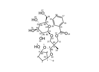 C[C@]12CC[C@](O)(C1)O[C@H]([C@@](C)(COC(=O)c1ccccc1)CO[C@@H]1O[C@H](CO)[C@@H](O)[C@H](O)[C@H]1O)O2